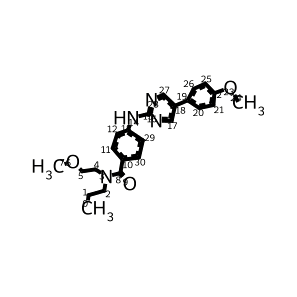 CCCN(CCOC)C(=O)c1ccc(Nc2ncc(-c3ccc(OC)cc3)cn2)cc1